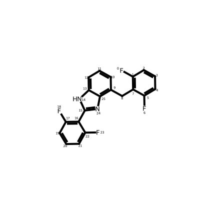 Fc1cccc(F)c1Cc1cccc2[nH]c(-c3c(F)cccc3F)nc12